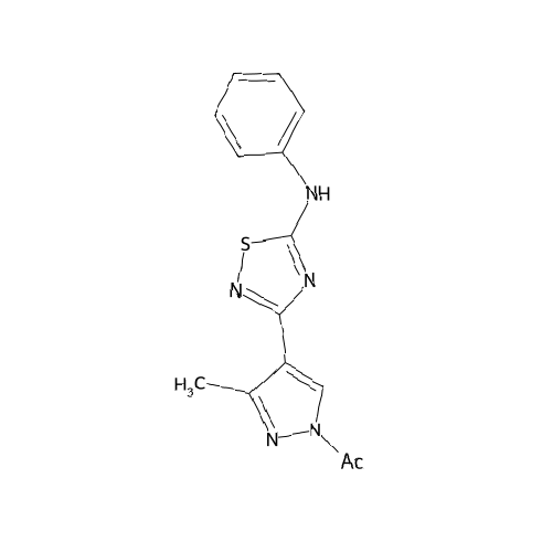 CC(=O)n1cc(-c2nsc(Nc3ccccc3)n2)c(C)n1